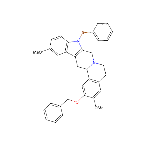 COc1ccc2c(c1)c1c(n2Sc2ccccc2)CN2CCc3cc(OC)c(OCc4ccccc4)cc3C2C1